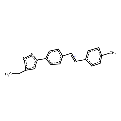 CCc1cn(-c2ccc(/C=C/c3ccc(C)cc3)cc2)nn1